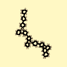 c1ccc(-c2ccc(-c3ccc(-n4c5ccccc5c5cc(-c6ccc7c(c6)c6ccccc6n7-c6ccc(-c7ccc8c(c7)-c7cc9ccccc9c9cccc-8c79)cc6)ccc54)cc3)cc2)cc1